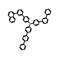 c1ccc(-c2ccc(-c3ccc(N(c4ccc(-c5cccc(-c6ccccc6)c5)cc4)c4ccc(-c5cccc(-c6cccc7ccccc67)c5)cc4)cc3)cc2)cc1